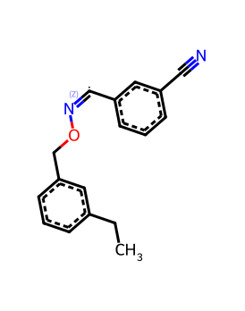 CCc1cccc(CO/N=[C]\c2cccc(C#N)c2)c1